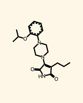 CCCC1=C(N2CCN(c3ccccc3OC(C)C)CC2)C(=O)NC1=O